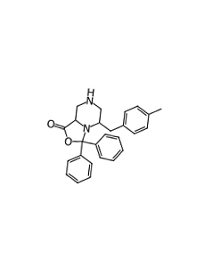 Cc1ccc(CC2CNCC3C(=O)OC(c4ccccc4)(c4ccccc4)N23)cc1